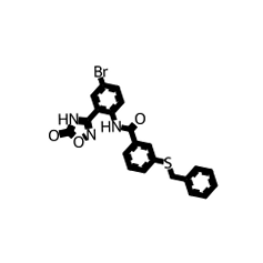 O=C(Nc1ccc(Br)cc1-c1noc(=O)[nH]1)c1cccc(SCc2ccccc2)c1